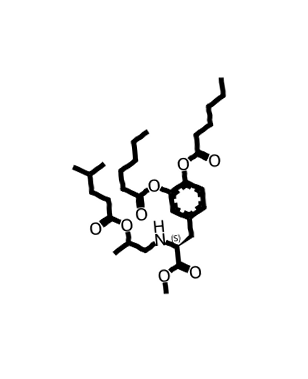 CCCCCC(=O)Oc1ccc(C[C@H](NCC(C)OC(=O)CCC(C)C)C(=O)OC)cc1OC(=O)CCCCC